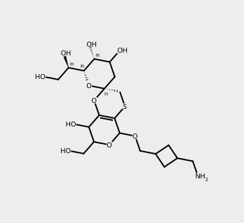 NCC1CC(COC2OC(CO)C(O)C3=C2SC[C@]2(CC(O)[C@@H](O)[C@@H]([C@H](O)CO)O2)O3)C1